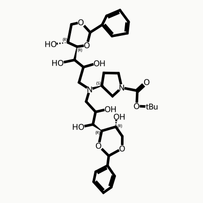 CC(C)(C)OC(=O)N1CC[C@H](N(CC(O)C(O)[C@@H]2OC(c3ccccc3)OC[C@H]2O)CC(O)C(O)[C@@H]2OC(c3ccccc3)OC[C@H]2O)C1